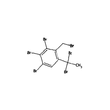 CC(Br)(Br)c1cc(Br)c(Br)c(Br)c1CBr